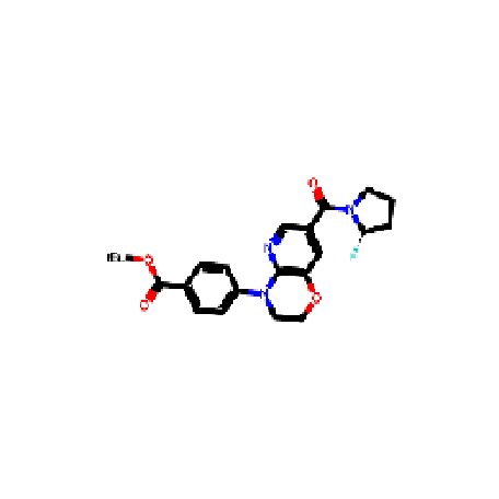 CC(C)(C)OC(=O)c1ccc(N2CCOc3cc(C(=O)N4CCC[C@@H]4F)cnc32)cc1